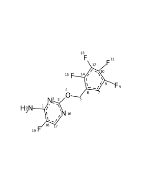 Nc1nc(OCc2cc(F)c(F)c(F)c2F)ncc1F